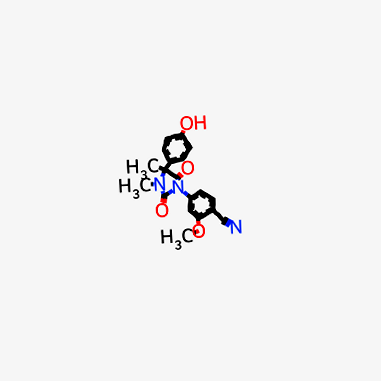 COc1cc(N2C(=O)N(C)C(C)(c3ccc(O)cc3)C2=O)ccc1C#N